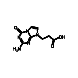 Nc1nc(=O)n2ccn(CCC(=O)O)c2n1